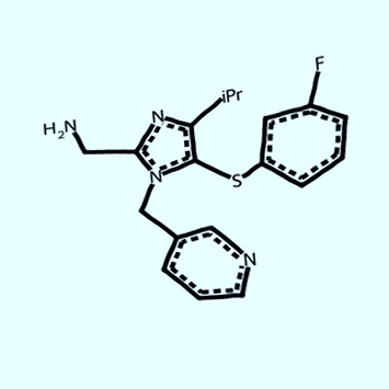 CC(C)c1nc(CN)n(Cc2cccnc2)c1Sc1cccc(F)c1